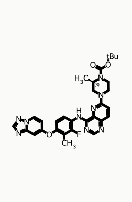 Cc1c(Oc2ccn3ncnc3c2)ccc(Nc2ncnc3ccc(N4CCN(C(=O)OC(C)(C)C)[C@H](C)C4)nc23)c1F